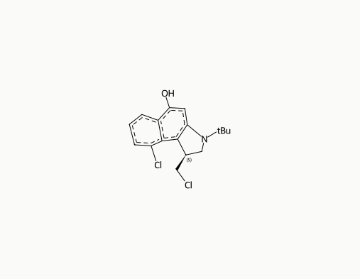 CC(C)(C)N1C[C@@H](CCl)c2c1cc(O)c1cccc(Cl)c21